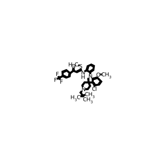 COc1ccc(Cl)c2c1N(c1ccccc1NC(=CC(=O)c1ccc(C(F)(F)F)cc1)SC)CC21CCN(CC(C)(C)C)CC1